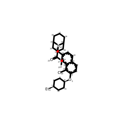 CC[C@H]1CC[C@@H](Oc2ccc3ccc(CN4C5CCCC4CC(C(=O)OI)C5)cc3c2Cl)CC1